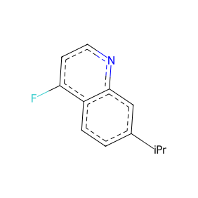 CC(C)c1ccc2c(F)ccnc2c1